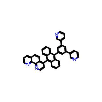 c1cncc(-c2cc(-c3cccnc3)cc(-c3c4ccccc4c(-c4ccnc5c4ccc4cccnc45)c4ccccc34)c2)c1